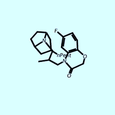 CCCCCC1CC2CCC(C1)N2CC(C)CN1C(=O)COc2ccc(F)cc21